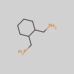 PCC1CCCCC1CP